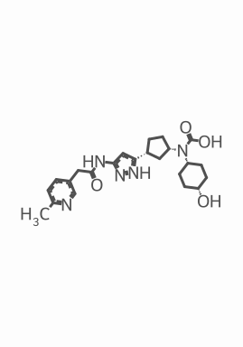 Cc1ccc(CC(=O)Nc2cc([C@@H]3CC[C@H](N(C(=O)O)[C@H]4CC[C@@H](O)CC4)C3)[nH]n2)cn1